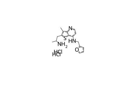 Cc1c(CC(C)N)sc2c(NCc3ccco3)ccnc12.Cl.Cl